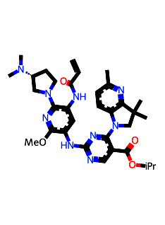 C=CC(=O)Nc1cc(Nc2ncc(C(=O)OC(C)C)c(N3CC(C)(C)c4nc(C)ccc43)n2)c(OC)nc1N1CC[C@@H](N(C)C)C1